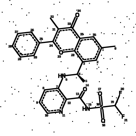 Cc1cc([C@@H](C)Nc2cccnc2C(=O)NS(=O)(=O)C(F)F)c2oc(-c3ccccc3)c(C)c(=O)c2c1